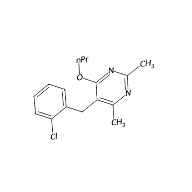 CCCOc1nc(C)nc(C)c1Cc1ccccc1Cl